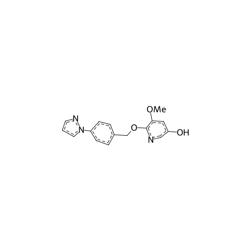 COc1cc(O)cnc1OCc1ccc(-n2cccn2)cc1